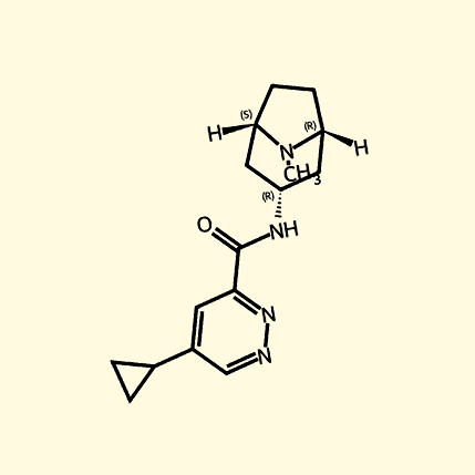 CN1[C@@H]2CC[C@H]1C[C@@H](NC(=O)c1cc(C3CC3)cnn1)C2